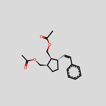 CC(=O)OC[C@@H]1CC[C@@H](/C=C\c2ccccc2)[C@@H]1COC(C)=O